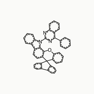 c1ccc(-c2nc(-n3c4ccccc4c4ccc5c(c43)Oc3ccccc3C53c4ccccc4-c4ccccc43)nc3ccccc23)cc1